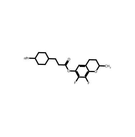 CCCC1CCC(CCC(=O)Oc2cc3c(c(F)c2F)OC(C)CC3)CC1